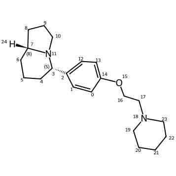 c1cc([C@@H]2CCC[C@@H]3CCCN32)ccc1OCCN1CCCCC1